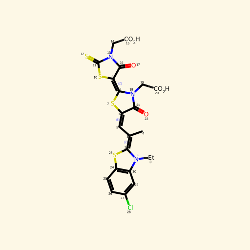 CCN1/C(=C(C)/C=c2/s/c(=C3\SC(=S)N(CC(=O)O)C3=O)n(CC(=O)O)c2=O)Sc2ccc(Cl)cc21